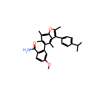 COc1ccc(C(N)=O)c(-c2c(C)c(C)c3oc(C)c(-c4ccc(C(C)C)cc4)c3c2C)c1